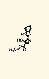 CCOC(=O)c1cnn(-c2nc3ccccc3[nH]2)c1O